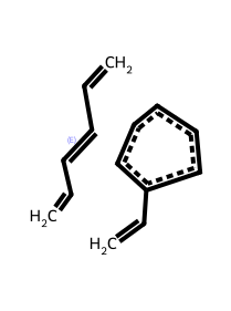 C=C/C=C/C=C.C=Cc1ccccc1